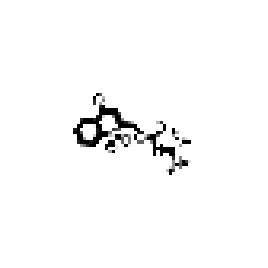 CN(C)C(=NC(=O)OCC1=CC(=O)c2ccccc2S1(=O)=O)N(C)C